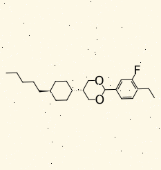 CCCCC[C@H]1CC[C@H](C2COC(c3ccc(CC)c(F)c3)OC2)CC1